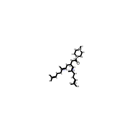 CC(C)=CCC/C(C)=C/CC(/C=C(\C)CCC=C(C)C)CC(=O)N1CCN(C)CC1